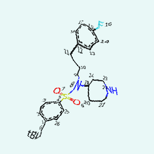 CC(C)(C)c1ccc(S(=O)(=O)N(CCCc2ccc(F)cc2)C2CCNCC2)cc1